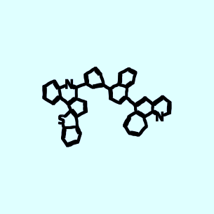 C1=CCc2c(c(-c3ccc(-c4cccc(-c5nc6ccccc6c6c5ccc5c7ccccc7sc56)c4)c4ccccc34)cc3cccnc23)C=C1